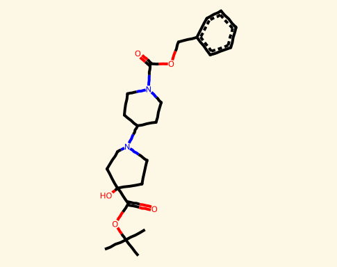 CC(C)(C)OC(=O)C1(O)CCN(C2CCN(C(=O)OCc3ccccc3)CC2)CC1